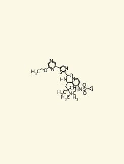 CCOc1cncc(-c2cnc(C(=O)NC(CC(C)(C)N(C)C)c3cc(NS(=O)(=O)C4CC4)ccn3)s2)n1